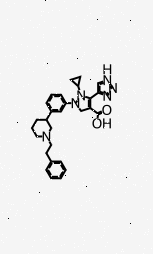 O=C(O)C1=C(c2c[nH]nn2)N(C2CC2)N(c2cccc(C3CCCN(CCc4ccccc4)C3)c2)C1